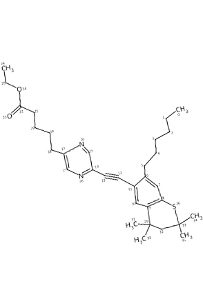 CCCCCCc1cc2c(cc1C#Cc1cnc(CCCCC(=O)OCC)cn1)C(C)(C)CC(C)(C)S2